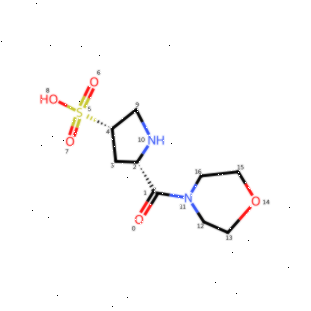 O=C([C@@H]1C[C@H](S(=O)(=O)O)CN1)N1CCOCC1